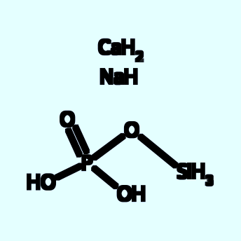 O=P(O)(O)O[SiH3].[CaH2].[NaH]